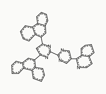 c1ccc2c(-c3cnc(-c4nc(-c5cc6ccccc6c6ccccc56)cc(-c5cc6ccccc6c6ccccc56)n4)nc3)nccc2c1